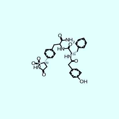 NC(=O)C(Cc1ccc([C@@H]2CC(=O)NS2(=O)=O)cc1)NC(=O)[C@H](Cc1ccccc1)NC(=O)Cc1ccc(O)cc1